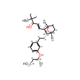 CCCCC(C)(C)C(O)/C=C/C1[C@@H]2CC[C@@H](O2)[C@@H]1CCc1cccc(O[C@H](CC)CC(=O)O)c1